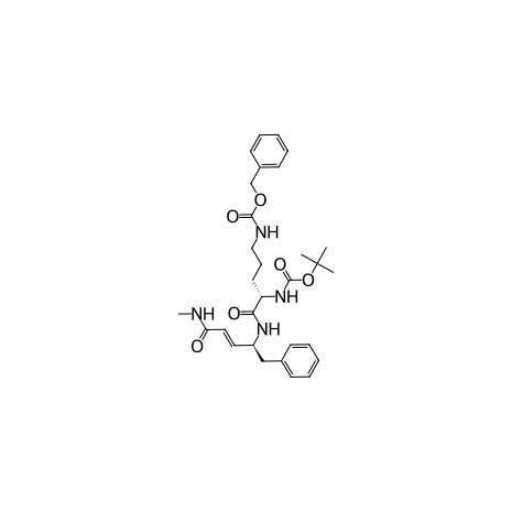 CNC(=O)/C=C/[C@H](Cc1ccccc1)NC(=O)[C@H](CCCNC(=O)OCc1ccccc1)NC(=O)OC(C)(C)C